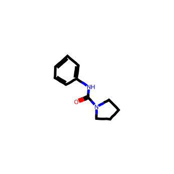 O=C(Nc1c[c]ccc1)N1CCCC1